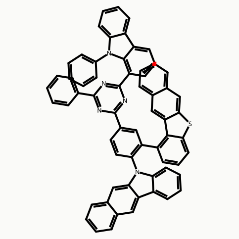 c1ccc(-c2nc(-c3ccc(-n4c5ccccc5c5cc6ccccc6cc54)c(-c4cccc5sc6cc7ccccc7cc6c45)c3)nc(-c3cccc4c5ccccc5n(-c5ccccc5)c34)n2)cc1